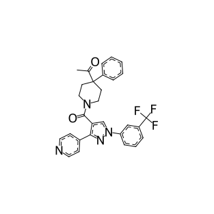 CC(=O)C1(c2ccccc2)CCN(C(=O)c2cn(-c3cccc(C(F)(F)F)c3)nc2-c2ccncc2)CC1